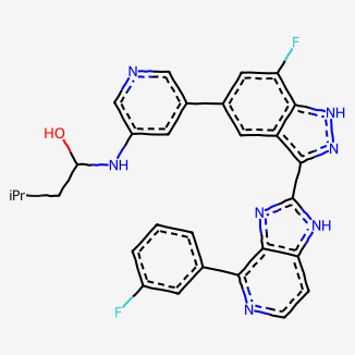 CC(C)CC(O)Nc1cncc(-c2cc(F)c3[nH]nc(-c4nc5c(-c6cccc(F)c6)nccc5[nH]4)c3c2)c1